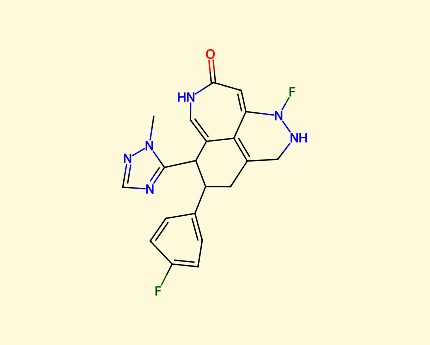 Cn1ncnc1C1C2=CNC(=O)C=C3C2=C(CNN3F)CC1c1ccc(F)cc1